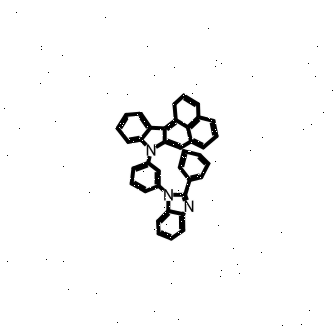 C1=Cc2cccc3cc4c(c(c23)C1)c1ccccc1n4-c1cccc(-n2c(-c3ccccc3)nc3ccccc32)c1